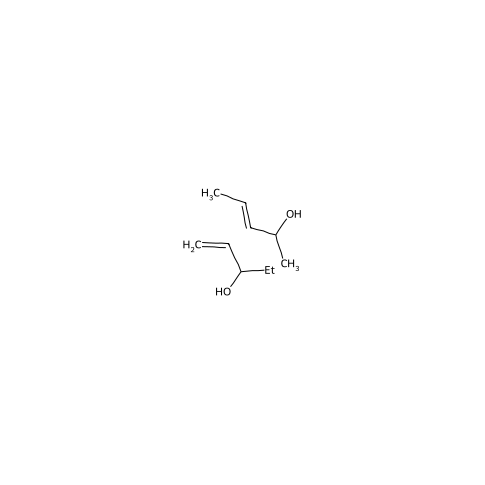 C=CC(O)CC.CC=CC(C)O